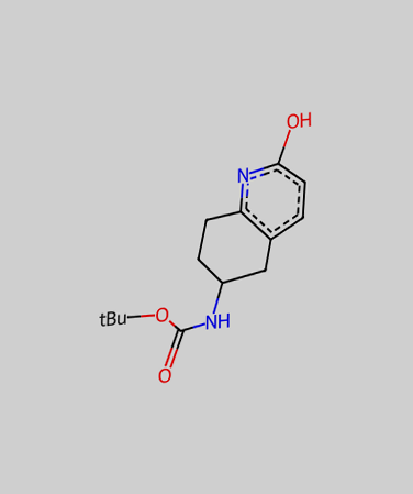 CC(C)(C)OC(=O)NC1CCc2nc(O)ccc2C1